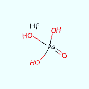 O=[As](O)(O)O.[Hf]